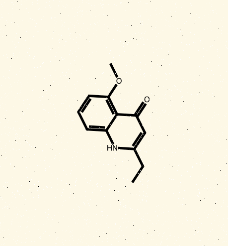 CCc1cc(=O)c2c(OC)cccc2[nH]1